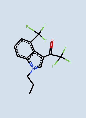 CCCn1cc(C(=O)C(F)(F)F)c2c(C(F)(F)F)cccc21